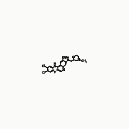 COc1cc2c(Nc3cc(Cl)c(Cl)cc3F)ncnc2cc1OCC1CN(C)CCO1